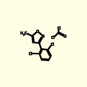 Cc1cc(-c2c(Cl)cccc2Cl)no1.O=C(Cl)Cl